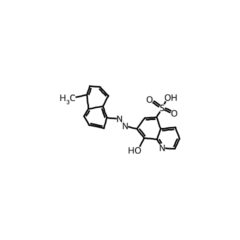 Cc1cccc2c(N=Nc3cc(S(=O)(=O)O)c4cccnc4c3O)cccc12